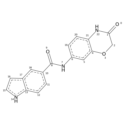 O=C1COc2cc(NC(=O)c3ccc4[nH]ccc4c3)ccc2N1